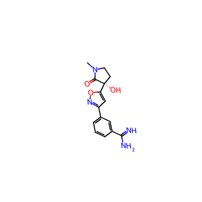 CN1CC[C@@](O)(c2cc(-c3cccc(C(=N)N)c3)no2)C1=O